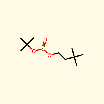 CC(C)(C)CCOS(=O)OC(C)(C)C